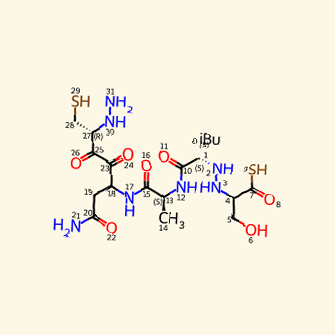 CC[C@H](C)[C@H](NNC(CO)C(=O)S)C(=O)N[C@@H](C)C(=O)NC(CC(N)=O)C(=O)C(=O)[C@H](CS)NN